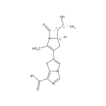 CC(C)C(=O)c1ncn2cc(C3=C(C(=O)O)N4C(=O)[C@H]([C@@H](C)O)[C@H]4C3)sc12